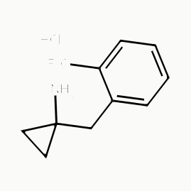 Cl.NC1(Cc2ccccc2C(F)(F)F)CC1